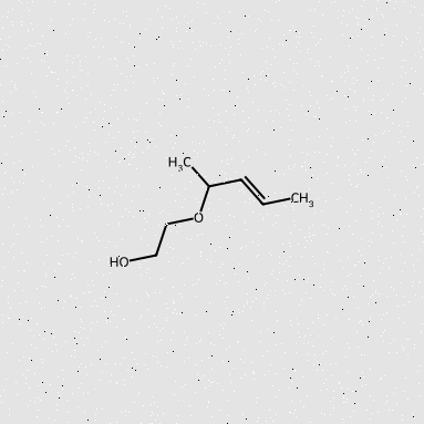 CC=CC(C)OCCO